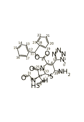 Cn1nnnc1C1=C(C(=O)OC(c2ccccc2)c2ccccc2)N2C(=O)[C@](C=S)(NC=O)[C@@H]2SC1N